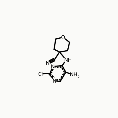 N#CC1(Nc2nc(Cl)ncc2N)CCOCC1